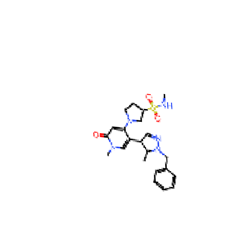 CNS(=O)(=O)C1CCN(c2cc(=O)n(C)cc2C2C=NN(Cc3ccccc3)C2C)C1